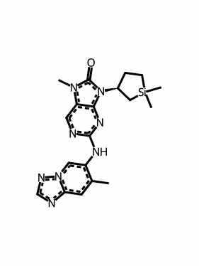 Cc1cc2ncnn2cc1Nc1ncc2c(n1)n([C@H]1CC[Si](C)(C)C1)c(=O)n2C